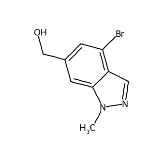 Cn1ncc2c(Br)cc(CO)cc21